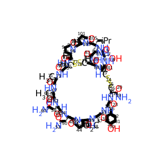 CC(C)C[C@@H]1NC(=O)[C@H](CO)NC(=O)[C@@H]2CSSC[C@@H](C(N)=O)NC(=O)[C@H](Cc3ccc(O)cc3)NC(=O)[C@H](CC(=O)O)NC(=O)[C@@H]3CCCN3C(=O)[C@H](CC(N)=O)NC(=O)[C@H](CC(N)=O)NC(=O)[C@H](C)NC(=O)[C@H](C)NC(=O)[C@H](CSSC[C@H](NC(=O)CN)C(=O)N2)NC(=O)[C@@H]2CCCN2C(=O)[C@@H]2CCCN2C1=O